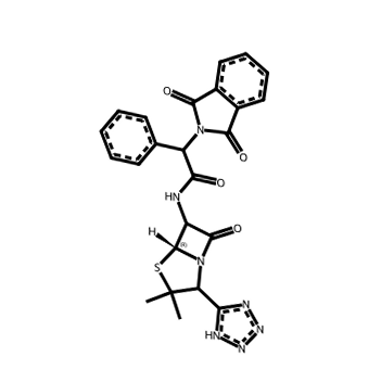 CC1(C)S[C@@H]2C(NC(=O)C(c3ccccc3)N3C(=O)c4ccccc4C3=O)C(=O)N2C1c1nnn[nH]1